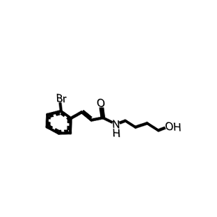 O=C(C=Cc1ccccc1Br)NCCCCO